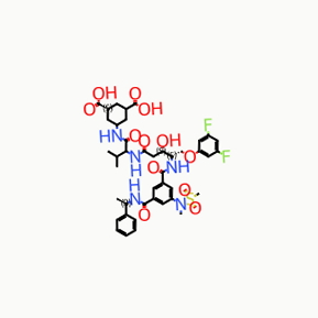 CC(C)C(NC(=O)C[C@H](O)[C@H](COc1cc(F)cc(F)c1)NC(=O)c1cc(C(=O)N[C@H](C)c2ccccc2)cc(N(C)S(C)(=O)=O)c1)C(=O)NC1CC(C(=O)O)C[C@H](C(=O)O)C1